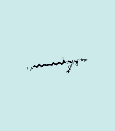 CCCCCCCC(=O)O[C@H](COP=O)COC(=O)CCCCCCCCCCCCN